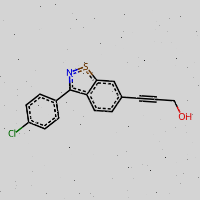 OCC#Cc1ccc2c(-c3ccc(Cl)cc3)nsc2c1